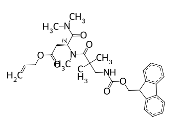 C=CCOC(=O)C[C@@H](C(=O)N(C)C)N(C)C(=O)C(C)(C)CNC(=O)OCC1c2ccccc2-c2ccccc21